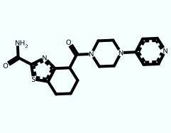 NC(=O)c1nc2c(s1)CCCC2C(=O)N1CCN(c2ccncc2)CC1